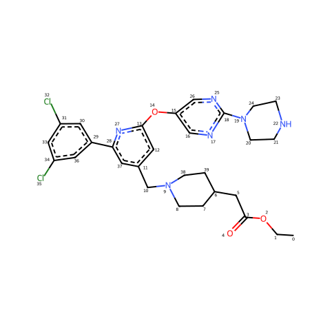 CCOC(=O)CC1CCN(Cc2cc(Oc3cnc(N4CCNCC4)nc3)nc(-c3cc(Cl)cc(Cl)c3)c2)CC1